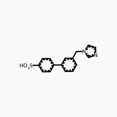 O=S(=O)(O)c1ccc(-c2cccc(Cn3ccnc3)c2)cc1